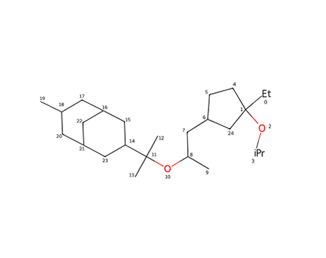 CCC1(OC(C)C)CCC(CC(C)OC(C)(C)C2CC3CC(C)CC(C3)C2)C1